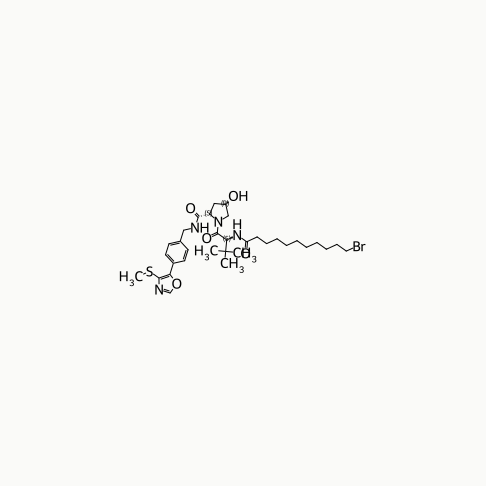 CSc1ncoc1-c1ccc(CNC(=O)[C@@H]2C[C@@H](O)CN2C(=O)[C@@H](NC(=O)CCCCCCCCCCBr)C(C)(C)C)cc1